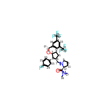 C[C@@H](O[C@H]1CC[C@@H](CN2CCC[C@H]2C(=O)N(C)C)[C@@H]1c1ccc(F)cc1)c1cc(C(F)(F)F)cc(C(F)(F)F)c1